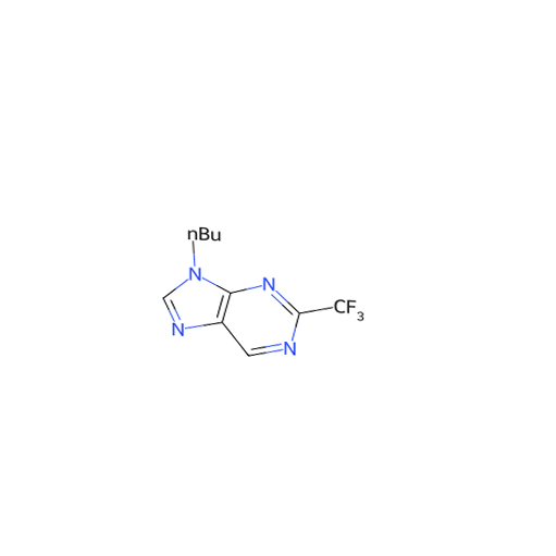 CCCCn1cnc2cnc(C(F)(F)F)nc21